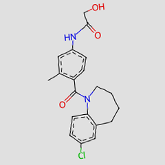 Cc1cc(NC(=O)CO)ccc1C(=O)N1CCCCc2cc(Cl)ccc21